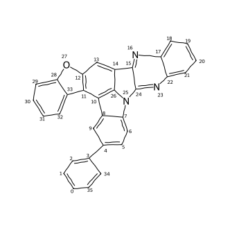 c1ccc(-c2ccc3c(c2)c2c4c(cc5c6nc7ccccc7nc6n3c52)oc2ccccc24)cc1